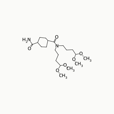 COC(CCCN(CCCC(OC)OC)C(=O)C1CCC(C(N)=O)CC1)OC